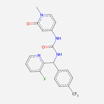 Cn1ccc(NC(=O)NC(c2ccc(C(F)(F)F)cc2)c2ncccc2F)cc1=O